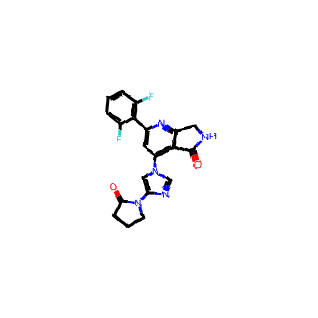 O=C1NCc2nc(-c3c(F)cccc3F)cc(-n3cnc(N4CCCC4=O)c3)c21